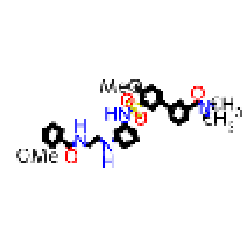 COc1ccccc1C(=O)NCCNc1cccc(NS(=O)(=O)c2cc(-c3cccc(C(=O)N(C)C)c3)ccc2OC)c1